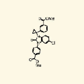 COC(=O)c1cccc(C2(n3c(=O)n(-c4ccc(C(=O)OC(C)(C)C)cc4)c4cc(Cl)ccc43)CC2)c1